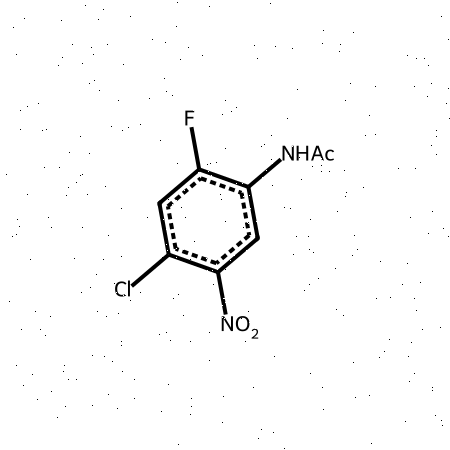 CC(=O)Nc1cc([N+](=O)[O-])c(Cl)cc1F